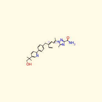 C=C/C(=C\C=C(/C)n1nc(C(N)=O)nc1C)Cc1ccc(-c2ccc(C(C)(C)CO)cn2)cc1